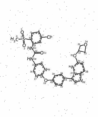 CS(=O)(=O)c1ccc(Cl)cc1NC(=O)Nc1cnc(Oc2ccc(-c3cnc4ccc(OC5COC5)nn34)cc2)nc1